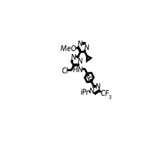 COc1ncnc(C2CC2)c1-c1ncc(CCl)c(NCC23CCC(c4nc(C(F)(F)F)cn4C(C)C)(CC2)CC3)n1